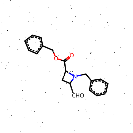 O=CC1CC(C(=O)OCc2ccccc2)N1Cc1ccccc1